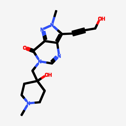 CN1CCC(O)(Cn2cnc3c(C#CCO)n(C)nc3c2=O)CC1